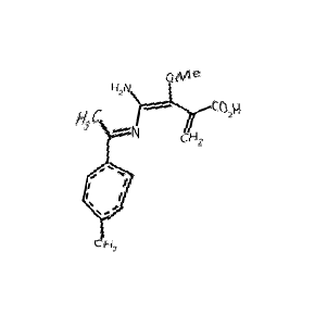 C=C(C(=O)O)/C(OC)=C(N)\N=C(/C)c1ccc(C)cc1